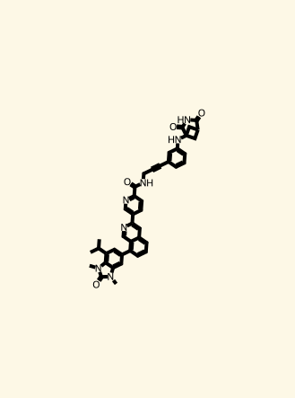 CC(C)c1cc(-c2cccc3cc(-c4ccc(C(=O)NCC#Cc5cccc(NC67CC(C6)C(=O)NC7=O)c5)nc4)ncc23)cc2c1n(C)c(=O)n2C